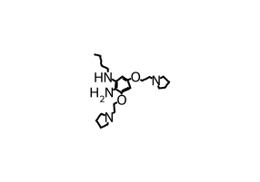 CCCCNc1cc(OCCN2CCCC2)cc(OCCN2CCCC2)c1N